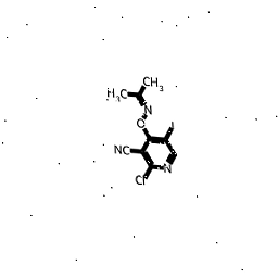 CC(C)=NOc1c(I)cnc(Cl)c1C#N